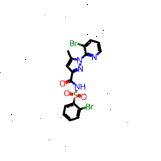 Cc1cc(C(=O)NS(=O)(=O)c2ccccc2Br)nn1-c1ncccc1Br